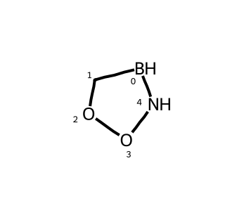 B1COON1